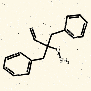 C=CC(Cc1ccccc1)(Cc1ccccc1)O[SiH3]